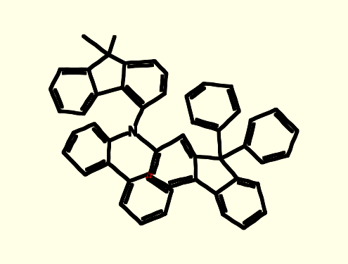 CC1(C)c2ccccc2-c2c(N(c3ccc4c(c3)C(c3ccccc3)(c3ccccc3)c3ccccc3-4)c3ccccc3-c3ccccc3)cccc21